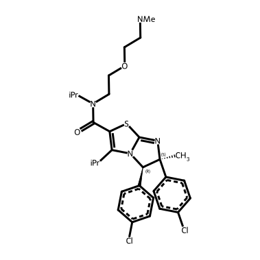 CNCCOCCN(C(=O)C1=C(C(C)C)N2C(=N[C@@](C)(c3ccc(Cl)cc3)[C@H]2c2ccc(Cl)cc2)S1)C(C)C